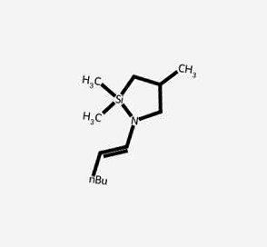 CCCC/C=C/N1CC(C)C[Si]1(C)C